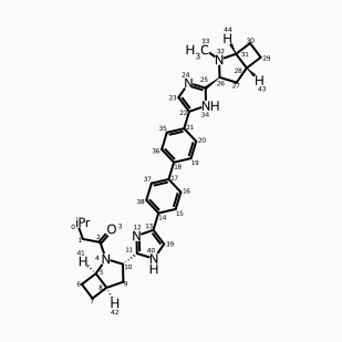 CC(C)CC(=O)N1[C@@H]2CC[C@@H]2C[C@H]1c1nc(-c2ccc(-c3ccc(-c4cnc([C@@H]5C[C@H]6CC[C@H]6N5C)[nH]4)cc3)cc2)c[nH]1